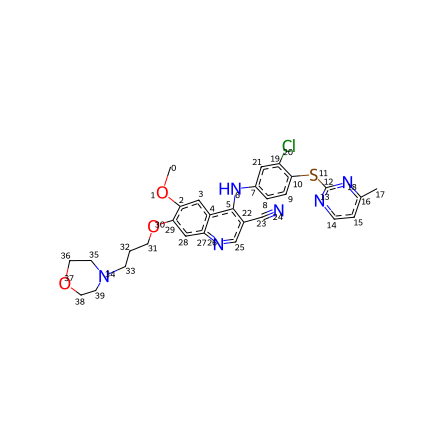 COc1cc2c(Nc3ccc(Sc4nccc(C)n4)c(Cl)c3)c(C#N)cnc2cc1OCCCN1CCOCC1